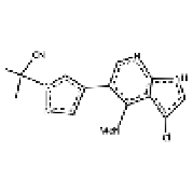 CNc1c(-c2cnn(C(C)(C)C#N)c2)cnc2[nH]cc(Cl)c12